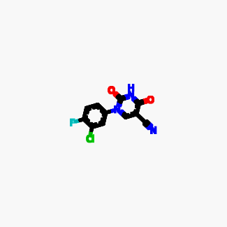 N#Cc1cn(-c2ccc(F)c(Cl)c2)c(=O)[nH]c1=O